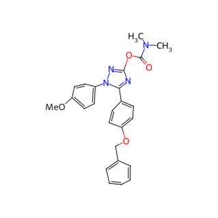 COc1ccc(-n2nc(OC(=O)N(C)C)nc2-c2ccc(OCc3ccccc3)cc2)cc1